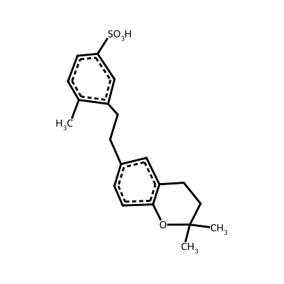 Cc1ccc(S(=O)(=O)O)cc1CCc1ccc2c(c1)CCC(C)(C)O2